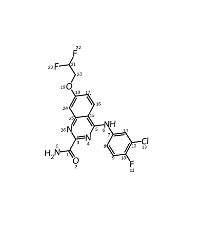 NC(=O)c1nc(Nc2ccc(F)c(Cl)c2)c2c[c]c(OCC(F)F)cc2n1